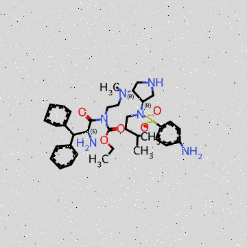 CCOC(=O)N(CCN(C)[C@@H]1CNC[C@H]1N(CCC(C)C)S(=O)(=O)c1ccc(N)cc1)C(=O)[C@@H](N)C(c1ccccc1)c1ccccc1